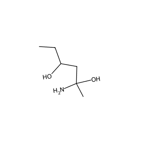 CCC(O)CC(C)(N)O